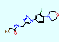 O=C(CS)NCc1cn(-c2ccc(N3CCOCC3)c(F)c2)nn1